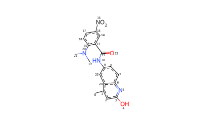 Cc1cc(O)nc2ccc(NC(=O)c3cc([N+](=O)[O-])ccc3N(C)C)cc12